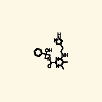 Cc1nc(C(=O)N2CC(O)(c3ccccc3)C2)nc(NCCc2cn[nH]c2)c1C